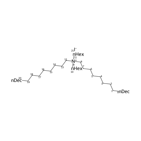 CCCCCCCCCCCCCCCCCC[N+](CCCCCC)(CCCCCC)CCCCCCCCCCCCCCCCCC.[I-]